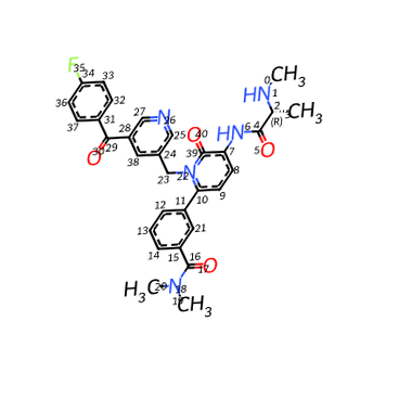 CN[C@H](C)C(=O)Nc1ccc(-c2cccc(C(=O)N(C)C)c2)n(Cc2cncc(C(=O)c3ccc(F)cc3)c2)c1=O